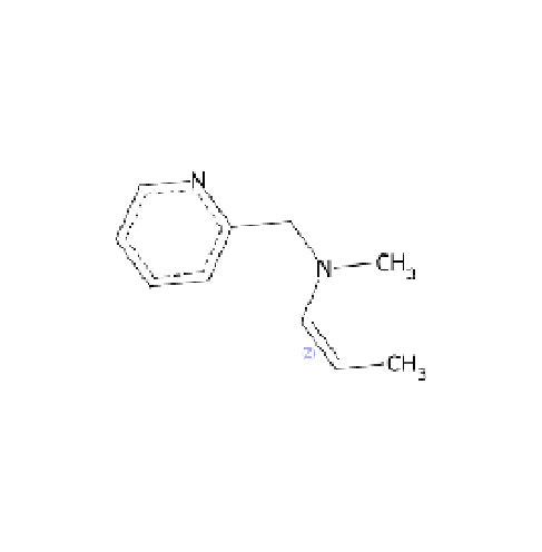 C/C=C\N(C)Cc1ccccn1